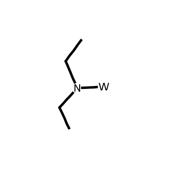 CC[N]([W])CC